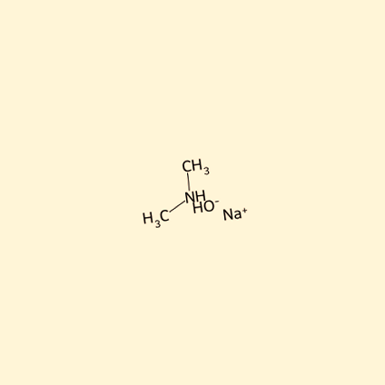 CNC.[Na+].[OH-]